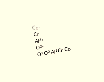 [Al+3].[Al+3].[Co].[Co].[Cr].[Cr].[O-2].[O-2].[O-2]